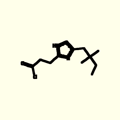 CCC(C)(C)Cc1c[nH]c(CCC(=O)Cl)n1